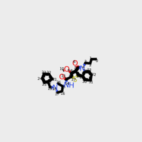 CCCCn1c(=O)c2c(OC)c(C(=O)NC3CCN(Cc4ccccc4)C3)sc2c2ccccc21